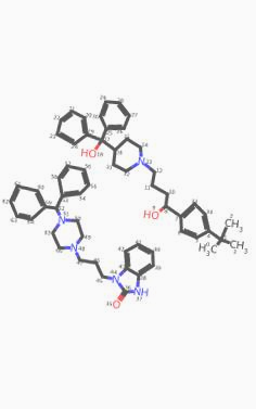 CC(C)(C)c1ccc(C(O)CCCN2CCC(C(O)(c3ccccc3)c3ccccc3)CC2)cc1.O=c1[nH]c2ccccc2n1CCCN1CCN(C(c2ccccc2)c2ccccc2)CC1